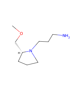 COC[C@H]1CCCN1CCCN